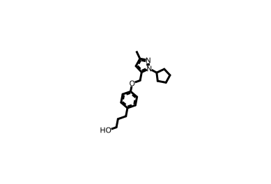 Cc1cc(COc2ccc(CCCO)cc2)n(C2CCCC2)n1